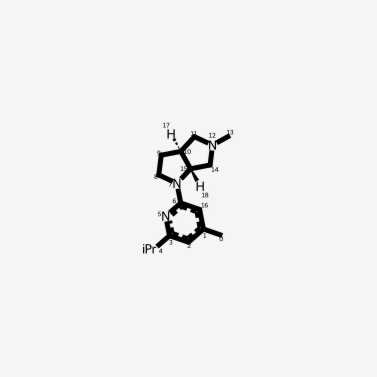 Cc1cc(C(C)C)nc(N2CC[C@H]3CN(C)C[C@@H]32)c1